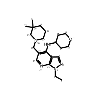 CCn1ncc2c(NC3CCOCC3)c(CN3CCCC(C)(C)C3)cnc21